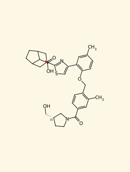 Cc1ccc(OCc2ccc(C(=O)N3CC[C@H](CO)C3)cc2C)c(-c2csc(N3CC4CCC(C3)C4C(=O)O)n2)c1